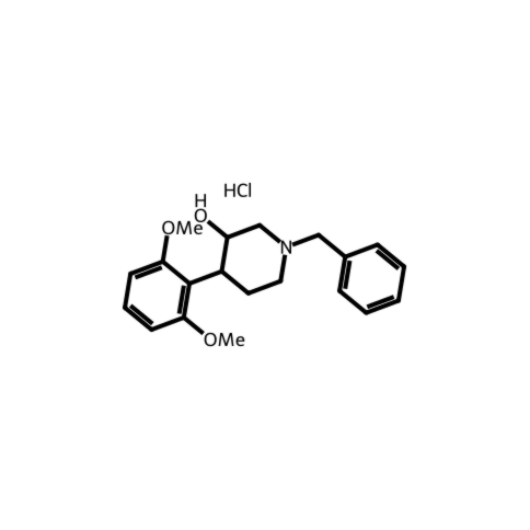 COc1cccc(OC)c1C1CCN(Cc2ccccc2)CC1O.Cl